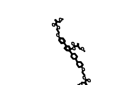 C=C(COC)C(=O)OCCOc1ccc(-c2ccc(C3CCC(C4CCC(OCCOC(=O)C(=C)COC)CC4)CC3)c(OC(=O)C(=C)COC)c2)cc1